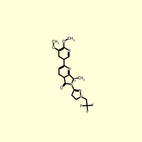 COC1=C(OC)N=CC(C2=CCC3C(=O)N(C4=NN(CC(F)(F)F)CC4)[C@H](C)C3=N2)C1